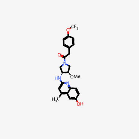 CO[C@@H]1CN(C(=O)Cc2ccc(OC(F)(F)F)cc2)C[C@H]1Nc1cc(C)c2cc(O)ccc2n1